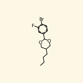 CCCCC1COC(c2ccc(Br)c(F)c2)OC1